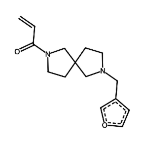 C=CC(=O)N1CCC2(CCN(Cc3ccoc3)C2)C1